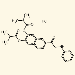 CC(C)C(=O)Oc1cc2ccc(C(=O)CNc3ccccc3)cc2cc1OC(=O)C(C)C.Cl